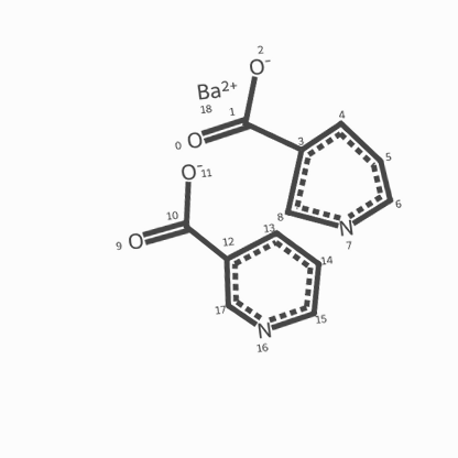 O=C([O-])c1cccnc1.O=C([O-])c1cccnc1.[Ba+2]